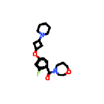 O=C(c1ccc(OC2CC(N3CCCCC3)C2)cc1F)N1CCCOCC1